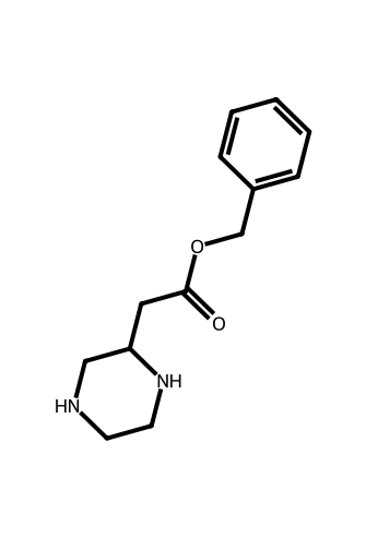 O=C(CC1CNCCN1)OCc1ccccc1